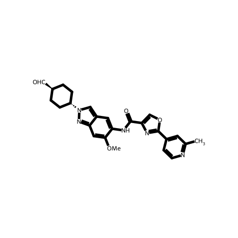 COc1cc2nn([C@H]3CC[C@H](C=O)CC3)cc2cc1NC(=O)c1coc(-c2ccnc(C)c2)n1